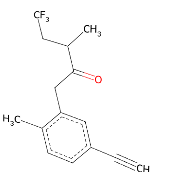 C#Cc1ccc(C)c(CC(=O)C(C)CC(F)(F)F)c1